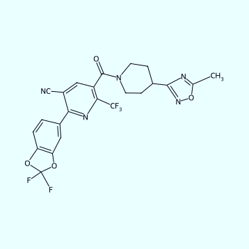 Cc1nc(C2CCN(C(=O)c3cc(C#N)c(-c4ccc5c(c4)OC(F)(F)O5)nc3C(F)(F)F)CC2)no1